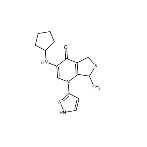 CC1SCc2c1n(-c1cc[nH]n1)cc(NC1CCCC1)c2=O